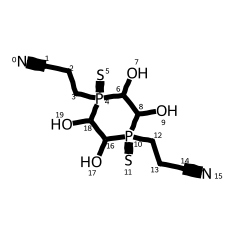 N#CCCP1(=S)C(O)C(O)P(=S)(CCC#N)C(O)C1O